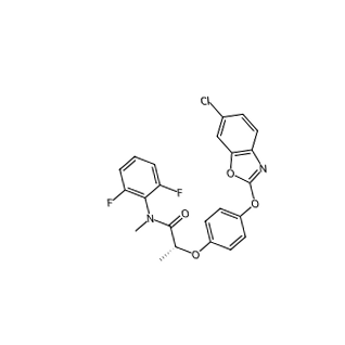 C[C@@H](Oc1ccc(Oc2nc3ccc(Cl)cc3o2)cc1)C(=O)N(C)c1c(F)cccc1F